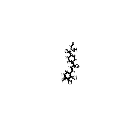 CCNC(=O)C1CCN(C(=O)/C=C/c2ccc(F)c(Cl)c2Cl)CC1